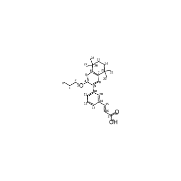 CCCOc1cc2c(cc1-c1cccc(C=CC(=O)O)c1)C(C)(C)CCC2(C)C